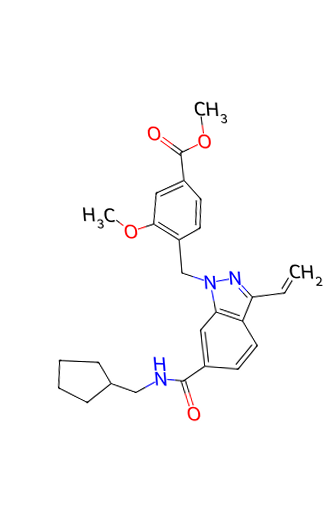 C=Cc1nn(Cc2ccc(C(=O)OC)cc2OC)c2cc(C(=O)NCC3CCCC3)ccc12